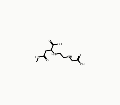 CNC(=O)CC(NCCNCC(=O)O)C(=O)O